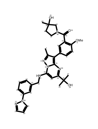 COc1ccc(-c2c(C)nn3c(NCc4cccc(-n5cccn5)c4)cc(C(C)(C)O)nc23)cc1C(=O)N1CCC(C)(O)C1